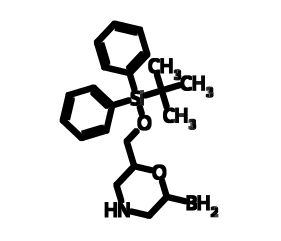 BC1CNCC(CO[Si](c2ccccc2)(c2ccccc2)C(C)(C)C)O1